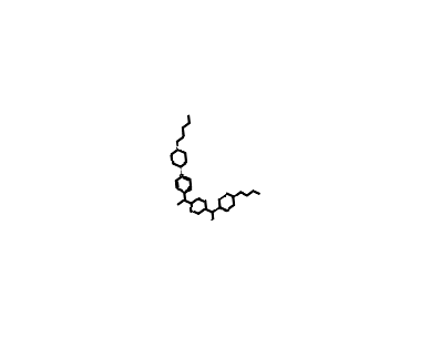 CCCCC[C@H]1CC[C@H](c2ccc(C(C)C3CCC(C(C)C4CCC(CCCC)CC4)CC3)cc2)CC1